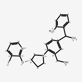 Cc1ccccc1C(C)c1ccc(N2CC[C@H](Oc3ncccc3F)C2)c(CO)c1